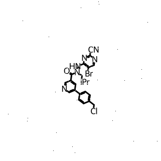 CC(C)CN(Nc1nc(C#N)ncc1Br)C(=O)c1cncc(-c2ccc(CCl)cc2)c1